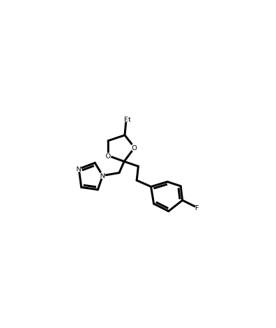 CCC1COC(CCc2ccc(F)cc2)(Cn2ccnc2)O1